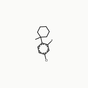 CC1(c2ccc(Cl)cc2F)CCCCC1